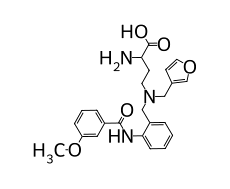 COc1cccc(C(=O)Nc2ccccc2CN(CCC(N)C(=O)O)Cc2ccoc2)c1